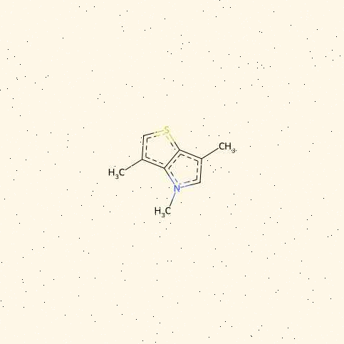 Cc1cn(C)c2c(C)csc12